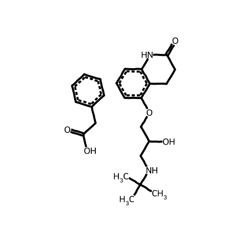 CC(C)(C)NCC(O)COc1cccc2c1CCC(=O)N2.O=C(O)Cc1ccccc1